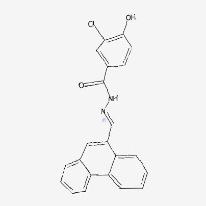 O=C(N/N=C/c1cc2ccccc2c2ccccc12)c1ccc(O)c(Cl)c1